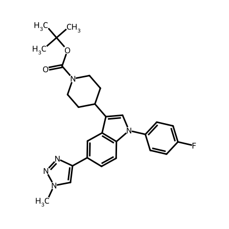 Cn1cc(-c2ccc3c(c2)c(C2CCN(C(=O)OC(C)(C)C)CC2)cn3-c2ccc(F)cc2)nn1